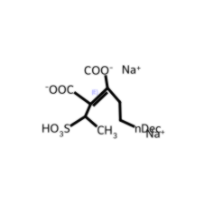 CCCCCCCCCCCC/C(C(=O)[O-])=C(/C(=O)[O-])C(C)S(=O)(=O)O.[Na+].[Na+]